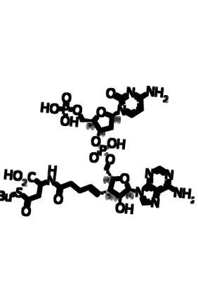 CC(C)(C)SC(=O)CC(NC(=O)CCC=C[C@H]1[C@@H](O)[C@H](n2cnc3c(N)ncnc32)O[C@H]1COP(=O)(O)O[C@H]1C[C@H](n2ccc(N)nc2=O)O[C@@H]1COP(=O)(O)O)C(=O)O